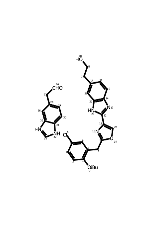 CC(C)COc1ccc(Cl)cc1Cc1nc(-c2nc3ccc(CCO)cc3[nH]2)co1.O=CCc1ccc2[nH]cnc2c1